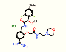 CCOC(C(=O)NCc1ccc(C(=N)N)cc1OCC(=O)NCCN1CCOCC1)c1c(F)cc(OC)cc1F.Cl